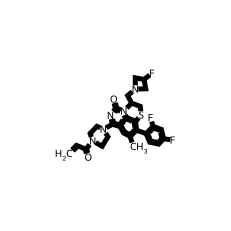 C=CC(=O)N1CCN(c2nc(=O)n3c4c(c(-c5ccc(F)cc5F)c(C)cc24)SCC3CN2CC(F)C2)CC1